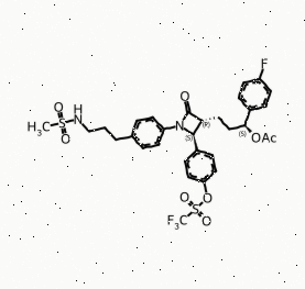 CC(=O)O[C@@H](CC[C@H]1C(=O)N(c2ccc(CCCNS(C)(=O)=O)cc2)[C@@H]1c1ccc(OS(=O)(=O)C(F)(F)F)cc1)c1ccc(F)cc1